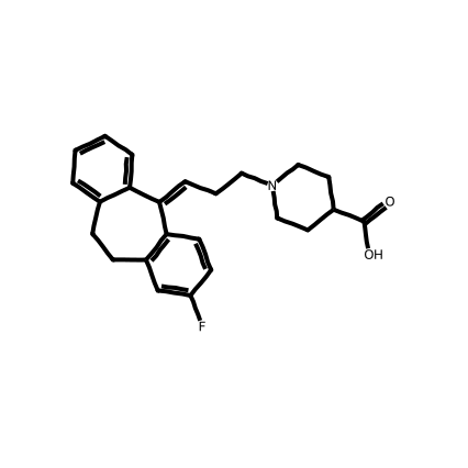 O=C(O)C1CCN(CCC=C2c3ccccc3CCc3cc(F)ccc32)CC1